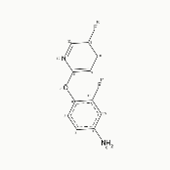 Nc1ccc(OC2=CCC(F)C=N2)c(F)c1